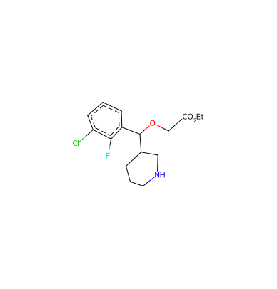 CCOC(=O)COC(c1cccc(Cl)c1F)C1CCCNC1